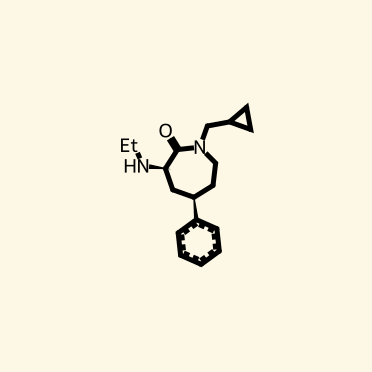 CCN[C@@H]1C[C@H](c2ccccc2)CCN(CC2CC2)C1=O